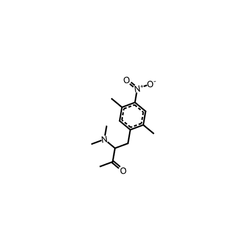 CC(=O)C(Cc1cc(C)c([N+](=O)[O-])cc1C)N(C)C